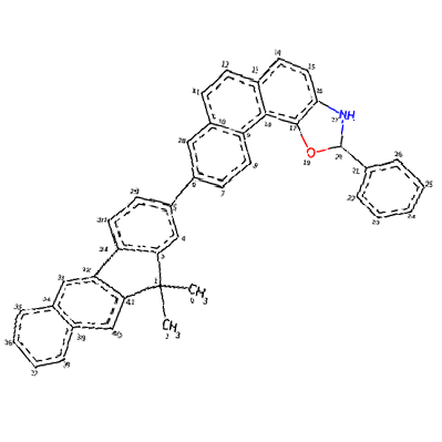 CC1(C)c2cc(-c3ccc4c(ccc5ccc6c(c54)OC(c4ccccc4)N6)c3)ccc2-c2cc3ccccc3cc21